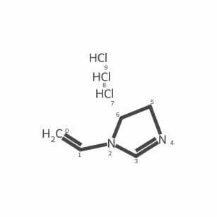 C=CN1C=NCC1.Cl.Cl.Cl